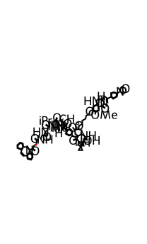 COc1cc2c(cc1OCCCCCOC1CC3NC(O)[C@@H]4CC5(CC5)CN4C(=O)C3(Cc3ccc(NC(=O)[C@H](C)NC(=O)[C@@H](NC(=O)CNC(=O)CNC(=O)CCC(=O)N4Cc5ccccc5C#Cc5ccccc54)C(C)C)cc3)CC1OC)NC[C@@H]1CC(c3ccc(N4CCOCC4)cc3)=CN1C2=O